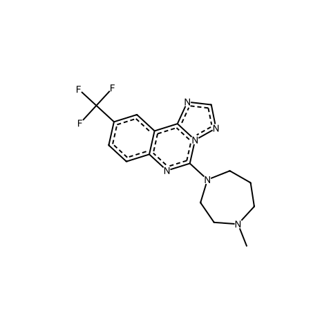 CN1CCCN(c2nc3ccc(C(F)(F)F)cc3c3ncnn23)CC1